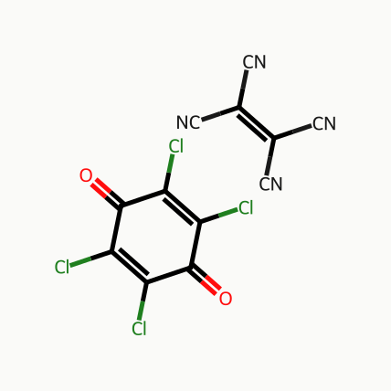 N#CC(C#N)=C(C#N)C#N.O=C1C(Cl)=C(Cl)C(=O)C(Cl)=C1Cl